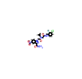 NC(=O)c1nn(CC(=O)N(CC(=O)NCc2cccc(Cl)c2F)C2CC2)c2ccc([N+](=O)[O-])cc12